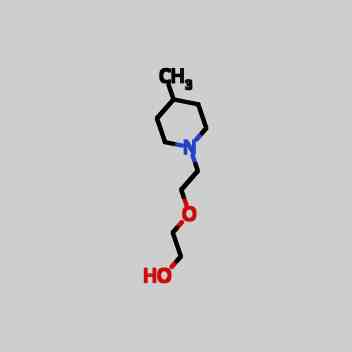 CC1CCN(CCOCCO)CC1